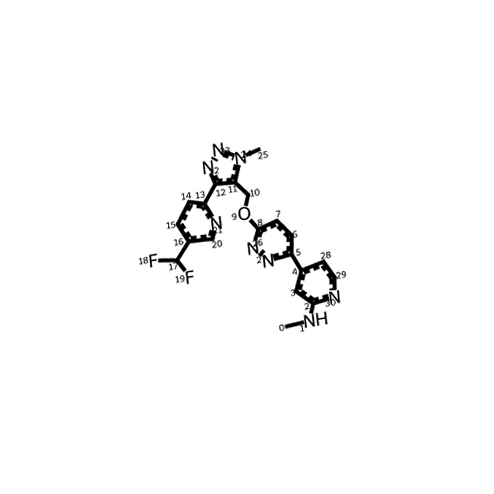 CNc1cc(-c2ccc(OCc3c(-c4ccc(C(F)F)cn4)nnn3C)nn2)ccn1